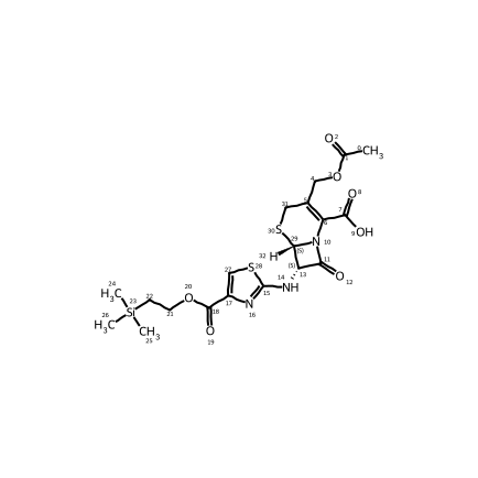 CC(=O)OCC1=C(C(=O)O)N2C(=O)[C@H](Nc3nc(C(=O)OCC[Si](C)(C)C)cs3)[C@@H]2SC1